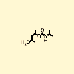 BC(C)CC(C)OC(=O)NC(C)C